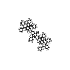 O=c1c2cc3c(cc2n(-c2ccccc2)c2cc4c(cc12)B1c2ccccc2N2c5ccccc5B5c6ccccc6N(c6ccccc6)c6cc(c1c2c65)O4)Oc1cc2c4c5c1B3c1ccccc1N5c1ccccc1B4c1ccccc1N2c1ccccc1